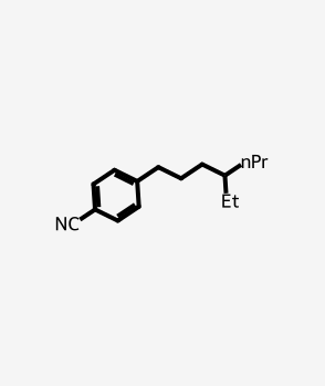 CCCC(CC)CCCc1ccc(C#N)cc1